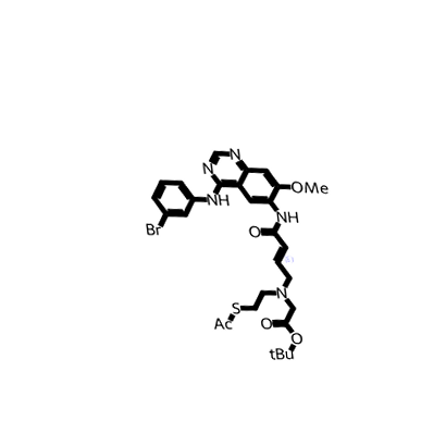 COc1cc2ncnc(Nc3cccc(Br)c3)c2cc1NC(=O)/C=C/CN(CCSC(C)=O)CC(=O)OC(C)(C)C